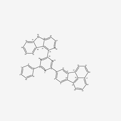 c1ccc(-c2nc(-c3ccc4c(c3)-c3cccc5cccc-4c35)nc(-c3nccc4oc5ccccc5c34)n2)cc1